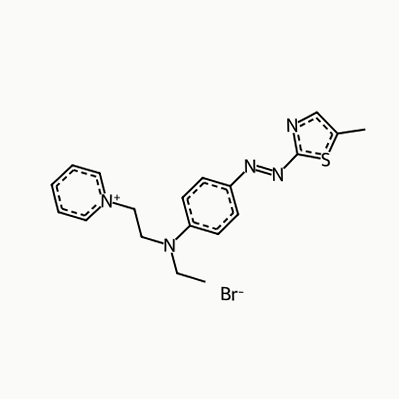 CCN(CC[n+]1ccccc1)c1ccc(/N=N/c2ncc(C)s2)cc1.[Br-]